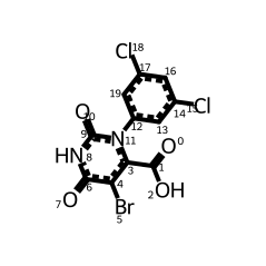 O=C(O)c1c(Br)c(=O)[nH]c(=O)n1-c1cc(Cl)cc(Cl)c1